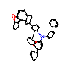 c1ccc(-c2ccc(N(c3cccc(-c4ccccc4)c3)c3ccc(-c4ccc5ccc6oc7ccccc7c6c5c4)cc3-c3ccccc3)cc2)cc1